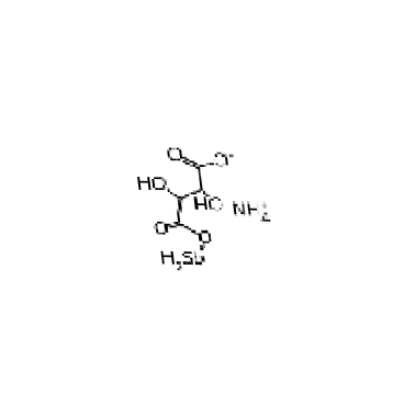 O=C([O-])C(O)C(O)C(=O)[O][SbH2].[NH4+]